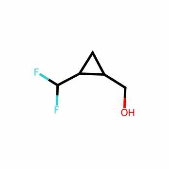 OCC1CC1C(F)F